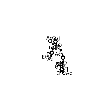 CCC(CC)N(Cc1ccc(C(=O)Nc2sc3c(Cl)c(OC(C)=O)c(Cl)cc3c2C(=O)NC2CC2N(Cc2ccc(C(=O)Nc3sc4c(Cl)c(OC(C)=O)c(Cl)cc4c3C(N)=O)cc2)C(C)=O)cc1)C(C)=O